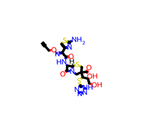 C#CCON=C(C(=O)NC1C(=O)N2CC(C(=O)O)(C(CCO)Sc3nnn[nH]3)CS[C@H]12)c1csc(N)n1